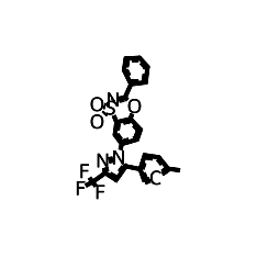 Cc1ccc(-c2cc(C(F)(F)F)nn2-c2ccc3c(c2)S(=O)(=O)N=C(c2ccccc2)O3)cc1